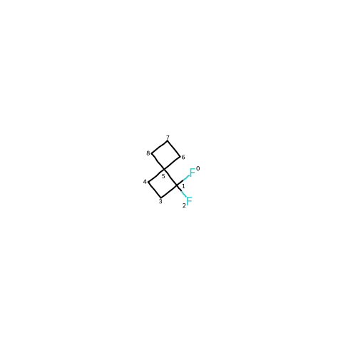 FC1(F)CCC12CCC2